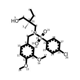 CC[C@](C)(CO)CN(Cc1ccc(OC)c(OC)c1)S(=O)(=O)c1ccc(Cl)cc1